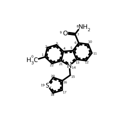 Cc1c[c]c2c3c(C(N)=O)cccc3n(Cc3ccsc3)c2c1